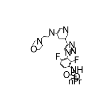 CCCS(=O)(=O)Nc1ccc(F)c(-n2cc(-c3cncc(N(C)CCN4CCOCC4)c3)nn2)c1F